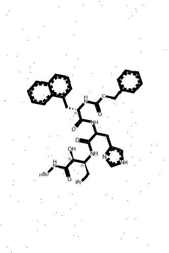 CCCCNC(=O)[C@@H](O)[C@H](CC(C)C)NC(=O)C(Cc1c[nH]cn1)NC(=O)[C@H](Cc1cccc2ccccc12)NC(=O)OCc1ccccc1